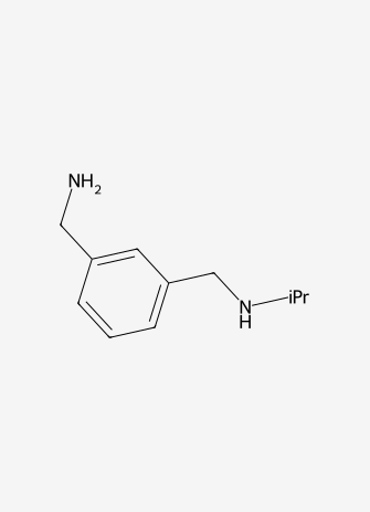 CC(C)NCc1cccc(CN)c1